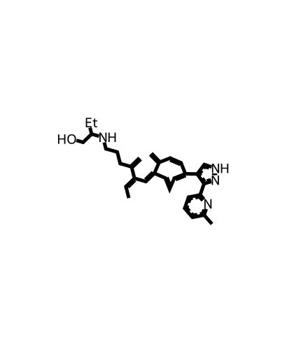 C=C1\C=C/C(c2c[nH]nc2-c2cccc(C)n2)=C/C=C/C1=C/C(=C\C)C(=C)CCCNC(CC)CO